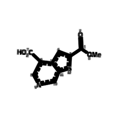 COC(=O)c1cc2c(C(=O)O)cncc2s1